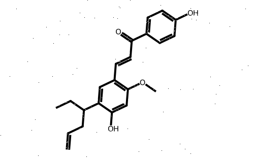 C=CCC(CC)c1cc(/C=C/C(=O)c2ccc(O)cc2)c(OC)cc1O